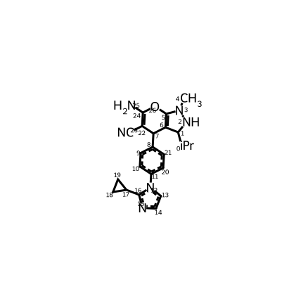 CC(C)C1NN(C)C2=C1C(c1ccc(-n3ccnc3C3CC3)cc1)C(C#N)=C(N)O2